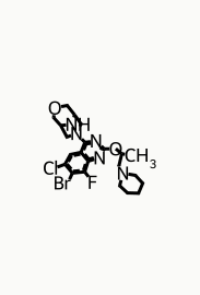 CC(CN1CCCCC1)Oc1nc(N2CC3COCC(C2)N3)c2cc(Cl)c(Br)c(F)c2n1